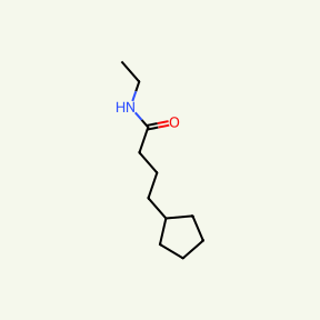 CCNC(=O)CCCC1CCCC1